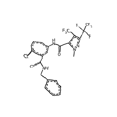 Cn1nc(C(F)(F)C(F)(F)F)c(C(F)(F)F)c1C(=O)Nc1ccc(Cl)c(C(=O)NCc2ccccc2)c1